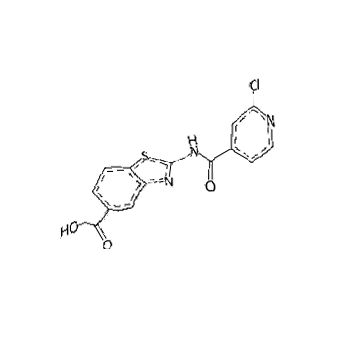 O=C(O)c1ccc2sc(NC(=O)c3ccnc(Cl)c3)nc2c1